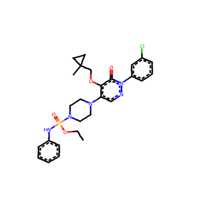 CCOP(=O)(Nc1ccccc1)N1CCN(c2cnn(-c3cccc(Cl)c3)c(=O)c2OCC2(C)CC2)CC1